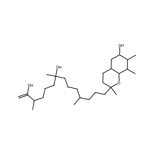 C=C(O)C(C)CCCC(C)(O)CCCC(C)CCCC1(C)CCC2CC(O)C(C)C(C)C2O1